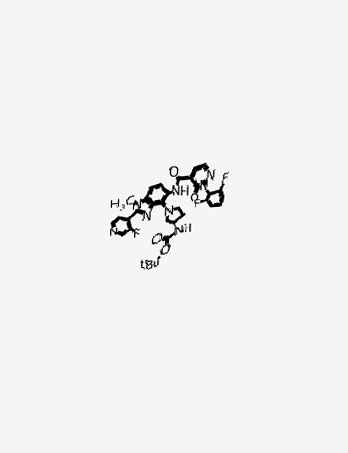 Cn1c(-c2ccncc2F)nc2c(N3CC[C@H](NC(=O)OC(C)(C)C)C3)c(NC(=O)c3ccnn(-c4c(F)cccc4F)c3=O)ccc21